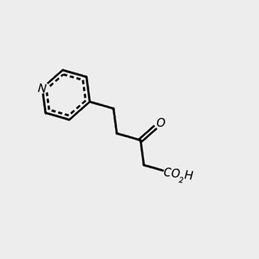 O=C(O)CC(=O)CCc1ccncc1